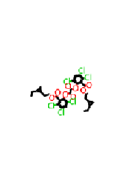 CCC1CC1CCOC(=O)c1c(Cl)c(Cl)cc(Cl)c1OC(=O)C(=O)Oc1c(Cl)cc(Cl)c(Cl)c1C(=O)OCCC1CC1CC